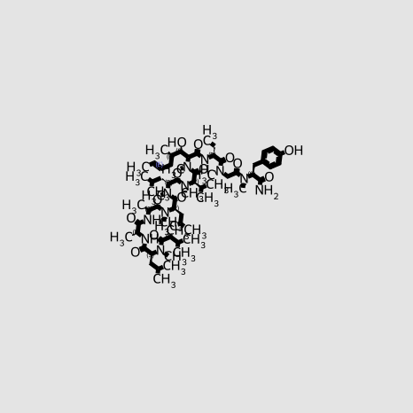 C/C=C/C[C@@H](C)[C@H](O)C(C(=O)N[C@H](CC)C(=O)N(C)CC(=O)N(C)[C@@H](Cc1ccc(O)cc1)C(N)=O)N(C)C(=O)[C@@H](C(C)C)N(C)C(=O)[C@@H](CC(C)C)N(C)C(=O)[C@@H](CC(C)C)N(C)C(=O)[C@H](C)NC(=O)[C@@H](C)NC(=O)[C@H](CC(C)C)N(C)C(=O)[C@H](C)C(C)C